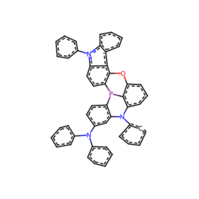 c1ccc(N(c2ccccc2)c2ccc3c(c2)N(c2ccccc2)c2cccc4c2P3c2ccc3c(c2O4)c2ccccc2n3-c2ccccc2)cc1